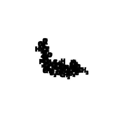 Cc1cc(Nc2ncc(Cl)c(Nc3ccccc3S(=O)(=O)C(C)C)n2)c(OC(C)C)cc1N1CCC(N(C)Cc2ccc3c(c2F)CN(C2CCC(C(=O)C=O)NC2)C3=O)CC1